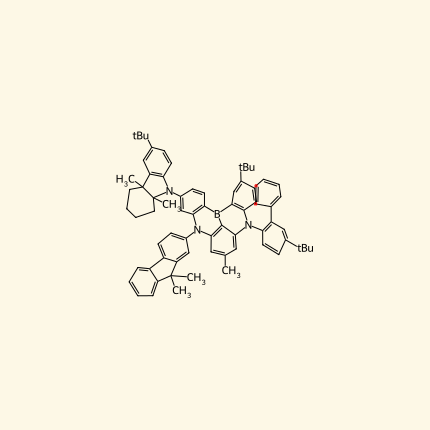 Cc1cc2c3c(c1)N(c1ccc(C(C)(C)C)cc1-c1ccccc1)c1ccc(C(C)(C)C)cc1B3c1ccc(N3c4ccc(C(C)(C)C)cc4C4(C)CCCCC34C)cc1N2c1ccc2c(c1)C(C)(C)c1ccccc1-2